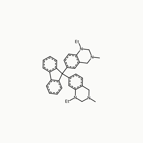 CCN1CN(C)Cc2cc(C3(c4ccc5c(c4)N(CC)CN(C)C5)c4ccccc4-c4ccccc43)ccc21